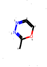 CC1=NN=C=CO1